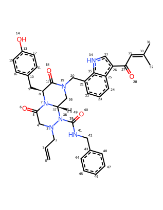 C=CCN1CC(=O)N2[C@@H](Cc3ccc(O)cc3)C(=O)N(Cc3cccc4c(C(=O)C=C(C)C)c[nH]c34)C[C@@H]2N1C(=O)NCc1ccccc1